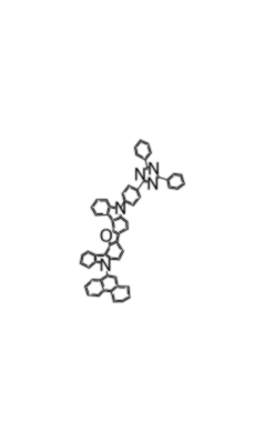 c1ccc(-c2nc(-c3ccccc3)nc(-c3ccc(-n4c5ccccc5c5c6oc7c(ccc8c7c7ccccc7n8-c7cc8ccccc8c8ccccc78)c6ccc54)cc3)n2)cc1